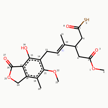 COC(=O)CC(CC(=O)S)/C(C)=C/Cc1c(O)c2c(c(C)c1OC)COC2=O